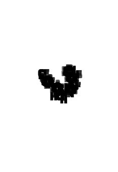 Cl.Fc1cnc(Nc2ccc(N3CCN(CC(F)(F)F)CC3)cn2)nc1-c1cc(F)c2ncccc2c1